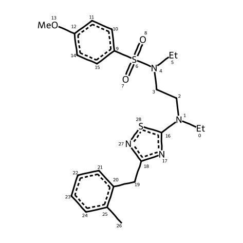 CCN(CCN(CC)S(=O)(=O)c1ccc(OC)cc1)c1nc(Cc2ccccc2C)ns1